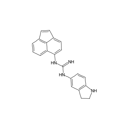 N=C(Nc1ccc2c(c1)CCN2)Nc1ccc2c3c(cccc13)C=C2